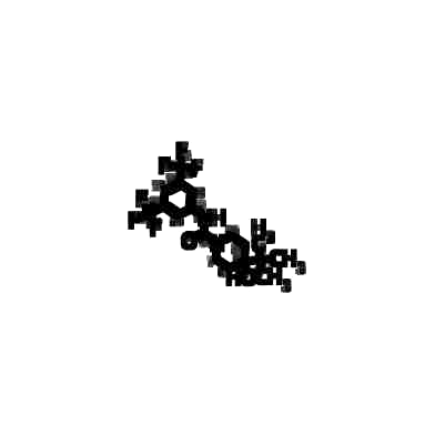 CC(C)(C)C1(O)CCN(C(=O)Nc2cc(C(F)(F)F)cc(C(F)(F)F)c2)CC1